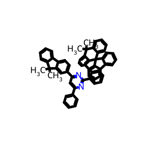 CC1(C)c2ccccc2-c2ccc(-c3cc(-c4ccccc4)nc(-c4ccccc4-c4cccc5c4C4(c6ccccc6-c6ccccc64)c4ccccc4C5(C)C)n3)cc21